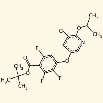 CC(C)Oc1ncc(Oc2cc(F)c(C(=O)OC(C)(C)C)c(F)c2F)cc1Cl